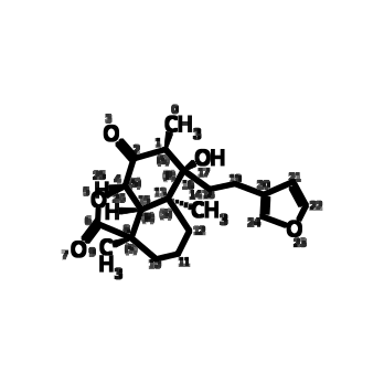 C[C@@H]1C(=O)[C@H]2OC(=O)[C@@]3(C)CCC[C@@](C)([C@@H]23)[C@@]1(O)CCc1ccoc1